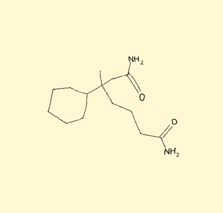 CC(CCCC(N)=O)(C(N)=O)C1CCCCC1